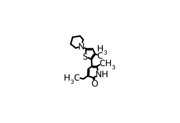 CCc1cc(-c2sc(N3CCCCC3)cc2C)c(C)[nH]c1=O